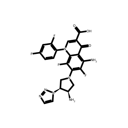 Nc1c(F)c(N2C[C@@H](N)[C@@H](n3ccnn3)C2)c(F)c2c1c(=O)c(C(=O)O)cn2-c1ccc(F)cc1F